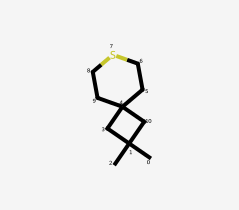 CC1(C)CC2(CCSCC2)C1